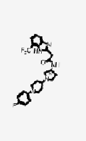 O=C(Cc1nc2cccc(C(F)(F)F)c2[nH]1)N[C@@H]1CCN(C2CCN(c3ccc(F)cc3)CC2)C1